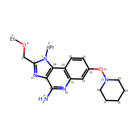 CCCn1c(COCC)nc2c(N)nc3cc(ON4CCCCC4)ccc3c21